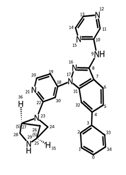 c1ccc(-c2ccc3c(Nc4cnccn4)nn(-c4ccnc(N5C[C@@H]6C[C@H]5CN6)c4)c3c2)cc1